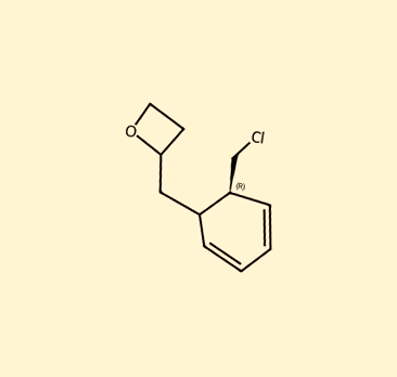 ClC[C@H]1C=CC=CC1CC1CCO1